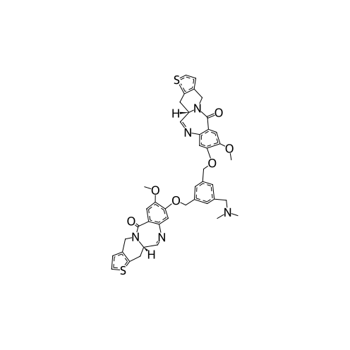 COc1cc2c(cc1OCc1cc(COc3cc4c(cc3OC)C(=O)N3Cc5ccsc5C[C@H]3C=N4)cc(CN(C)C)c1)N=C[C@@H]1Cc3sccc3CN1C2=O